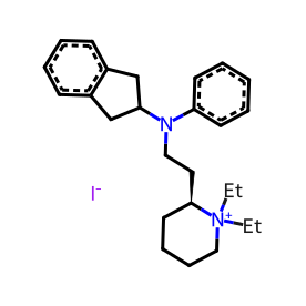 CC[N+]1(CC)CCCC[C@H]1CCN(c1ccccc1)C1Cc2ccccc2C1.[I-]